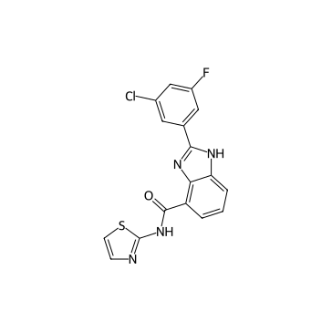 O=C(Nc1nccs1)c1cccc2[nH]c(-c3cc(F)cc(Cl)c3)nc12